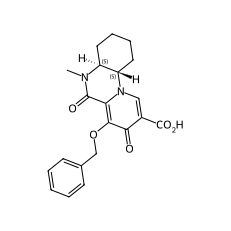 CN1C(=O)c2c(OCc3ccccc3)c(=O)c(C(=O)O)cn2[C@H]2CCCC[C@@H]21